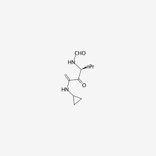 C=C(NC1CC1)C(=O)[C@H](CCC)NC=O